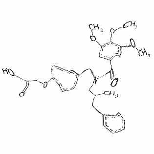 COc1cc(C(=O)N(Cc2ccc(OCC(=O)O)cc2)CC(C)Cc2ccccc2)cc(OC)c1OC